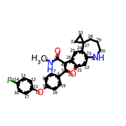 CNC(=O)c1c(-c2ccc(Oc3ccc(F)cc3)cc2)oc2cc3c(cc12)C1(CCCN3)CC1